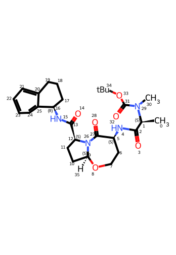 C[C@@H](C(=O)N[C@H]1CCO[C@H]2CC[C@@H](C(=O)N[C@@H]3CCCc4ccccc43)N2C1=O)N(C)C(=O)OC(C)(C)C